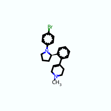 CN1CC=C(c2ccccc2[C@H]2CCCN2c2ccc(Br)cc2)CC1